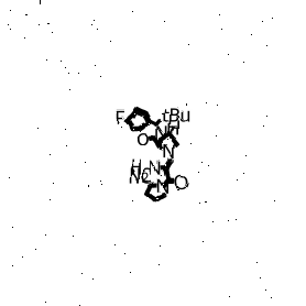 CC(C)(C)C(c1ccc(F)cc1)N1C(=O)C2C[C@H]1CN2CC(N)C(=O)N1CCCC1C#N